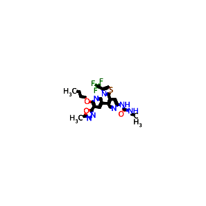 CCCCOc1ncc(-c2cnc(NC(=O)NCC)cc2-c2nc(C(F)(F)F)cs2)cc1-c1nnc(C)o1